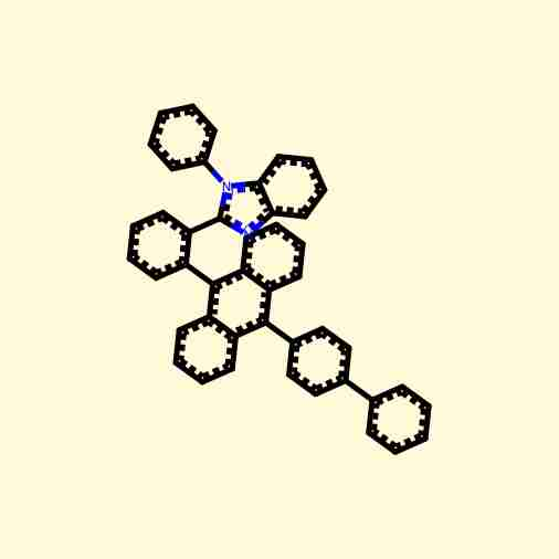 c1ccc(-c2ccc(-c3c4ccccc4c(-c4ccccc4-c4nc5ccccc5n4-c4ccccc4)c4ccccc34)cc2)cc1